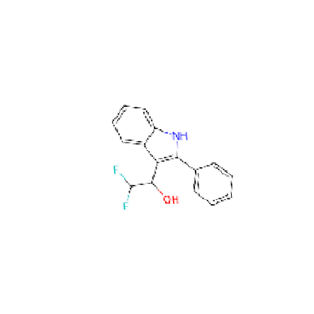 OC(c1c(-c2ccccc2)[nH]c2ccccc12)C(F)F